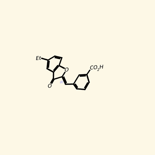 CCc1ccc2c(c1)C(=O)/C(=C/c1cccc(C(=O)O)c1)O2